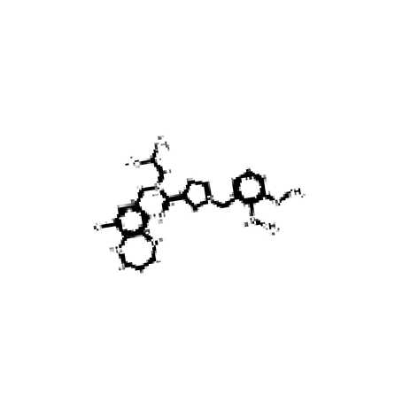 COc1cccc(CN2CCC(C(=O)N(Cc3cc(Cl)c4c(c3)OCCCO4)CC(C)C)C2)c1OC